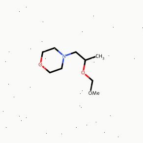 COCOC(C)CN1CCOCC1